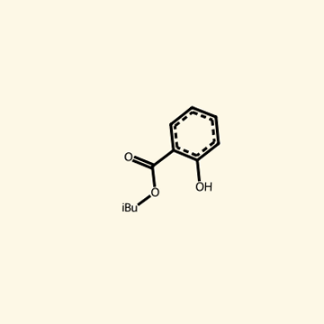 CCC(C)OC(=O)c1ccccc1O